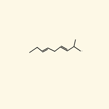 [CH2]C(C)C=CCC=CCC